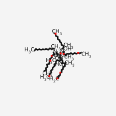 C=C/C=C/C=C/C=C/C=C/C(C)C(O)CN(CCN(CCN(CC(C)CCCCCCCCCCCC)CC(O)CCCCCCCCCCCC)CCN(CC(O)C(C)CCCCCCCCCC)CC(O)C(C)CCCCCCCCCC)CC(O)C(C)CCCCCCCCCC